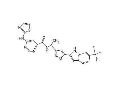 CC(NC(=O)c1cc(Nc2nccs2)ncn1)c1cc(-c2nc3ccc(C(F)(F)F)cc3[nH]2)on1